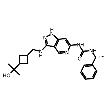 C[C@@H](NC(=O)Nc1cc2[nH]nc(NCC3CC(C(C)(C)O)C3)c2cn1)c1ccccc1